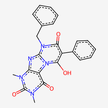 Cn1c(=O)c2c(nc3n(Cc4ccccc4)c(=O)c(-c4ccccc4)c(O)n23)n(C)c1=O